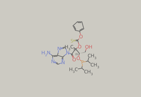 CC(C)P(O[C@@H](CO)[C@@](C)(OC(=S)Oc1ccccc1)C(=O)n1cnc2c(N)ncnc21)C(C)C